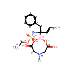 CCC/C=C/C(Cc1ccccc1)(NS(=O)(=O)OCC(Cl)(Cl)Cl)B1OC(=O)CN(C)CC(=O)O1